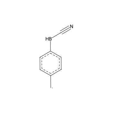 [CH2]c1ccc(BC#N)cc1